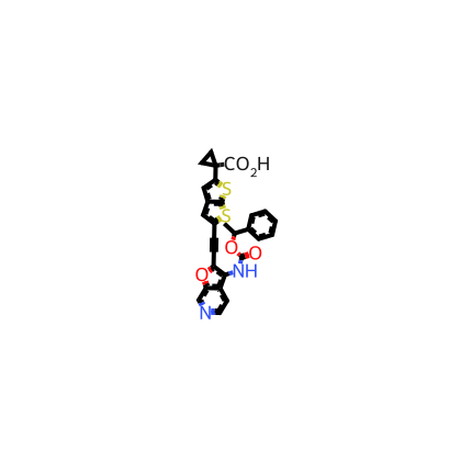 CC(OC(=O)Nc1c(C#Cc2cc3cc(C4(C(=O)O)CC4)sc3s2)oc2cnccc12)c1ccccc1